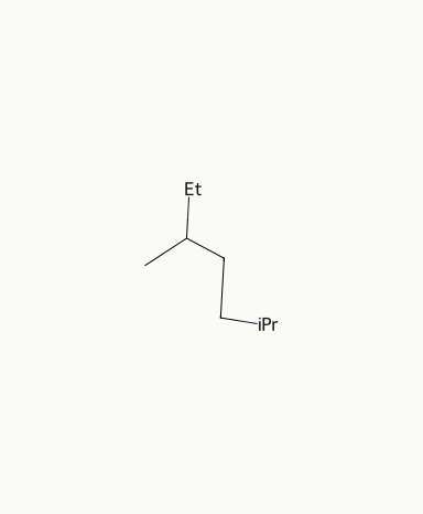 [CH2]C(C)CCC(C)CC